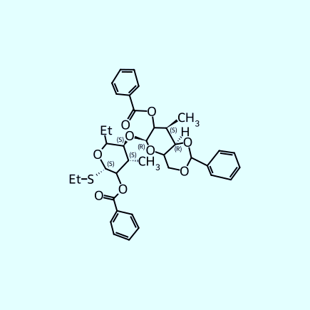 CCS[C@@H]1OC(CC)[C@@H](O[C@@H]2OC3COC(c4ccccc4)O[C@@H]3[C@H](C)C2OC(=O)c2ccccc2)[C@H](C)C1OC(=O)c1ccccc1